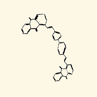 O=C1c2ccccc2C(=O)c2c(C=Cc3ccc(-c4ccc(C=Cc5cccc6c5C(=O)c5ccccc5C6=O)cc4)cc3)cccc21